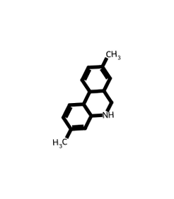 CC1=CC2CNC3C=C(C)C=CC3C2C=C1